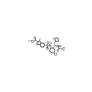 CCOC(=O)c1sc2ccc(S(=O)(=O)N(CC)c3ccc(Cl)cc3C(Cc3ccco3)NC(=O)C3CC3)cc2c1C